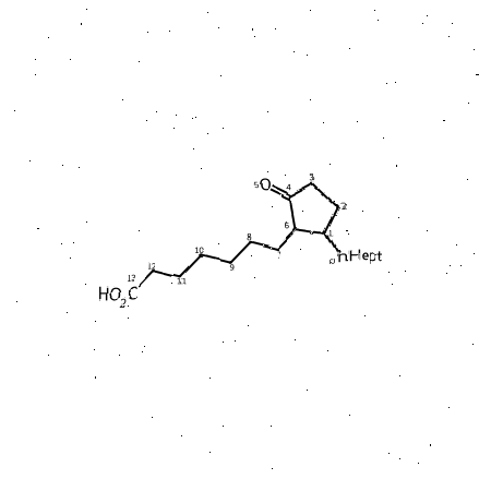 CCCCCCCC1CCC(=O)C1CCCCCCC(=O)O